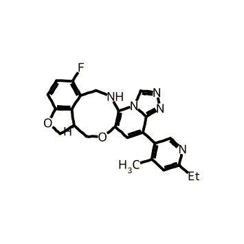 CCc1cc(C)c(-c2cc3c(n4cnnc24)NCc2c(F)ccc4c2[C@@H](CO4)CO3)cn1